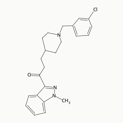 Cn1nc(C(=O)CCC2CCN(Cc3cccc(Cl)c3)CC2)c2ccccc21